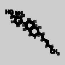 CC/C=C/CCC1CCc2cc([C@H]3CC[C@](N)(CO)C3)ccc2C1